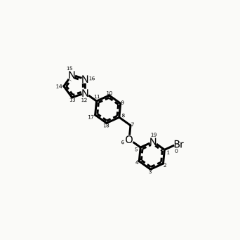 Brc1cccc(OCc2ccc(-n3ccnn3)cc2)n1